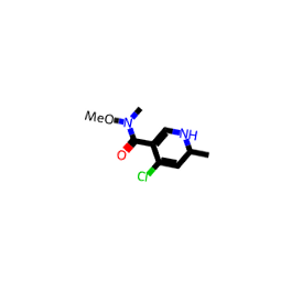 CON(C)C(=O)C1=CNC(C)C=C1Cl